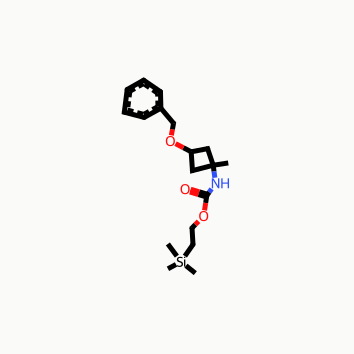 CC1(NC(=O)OCC[Si](C)(C)C)CC(OCc2ccccc2)C1